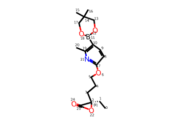 CC[C@]1(CCCOc2ccc(B3OCC(C)(C)CO3)c(C)n2)OC1=O